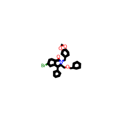 O=c1c2ccc(Br)cc2c(-c2ccccc2)c(COCc2ccccc2)n1Cc1ccc2c(c1)OCO2